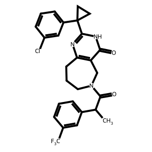 CC(C(=O)N1CCCc2nc(C3(c4cccc(Cl)c4)CC3)[nH]c(=O)c2C1)c1cccc(C(F)(F)F)c1